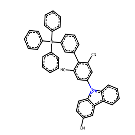 N#Cc1ccc2c(c1)c1ccccc1n2-c1cc(C#N)c(-c2cccc([Si](c3ccccc3)(c3ccccc3)c3ccccc3)c2)c(C#N)c1